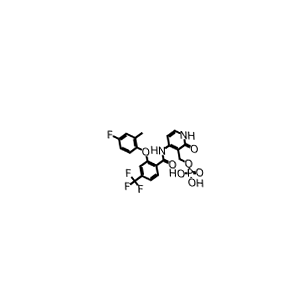 Cc1cc(F)ccc1Oc1cc(C(F)(F)F)ccc1C(=O)Nc1cc[nH]c(=O)c1COP(=O)(O)O